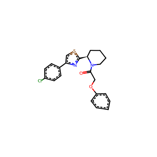 O=C(COc1ccccc1)N1CCCC[C@@H]1c1nc(-c2ccc(Cl)cc2)cs1